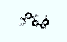 CCN(c1ccnc(-c2cnc3ccc(F)cn23)n1)C1CCCN(C(=O)OC(C)(C)C)C1